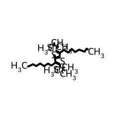 CCCCCCCCc1[c]([Sn]([CH3])([CH3])[CH3])sc2c(CCCCCCCC)[c]([Sn]([CH3])([CH3])[CH3])sc12